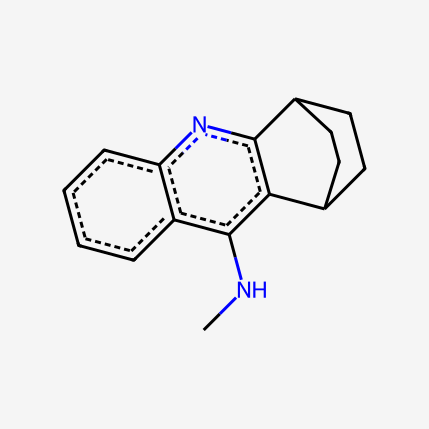 CNc1c2c(nc3ccccc13)C1CCC2CC1